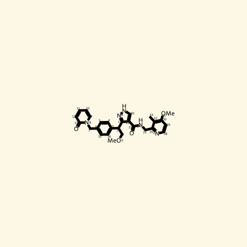 COCC(c1ccc(Cn2ccccc2=O)cc1)c1n[nH]cc1C(=O)NCc1nccc(OC)c1C